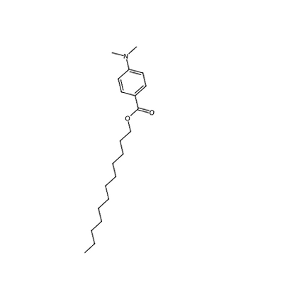 CCCCCCCCCCCCOC(=O)c1ccc(N(C)C)cc1